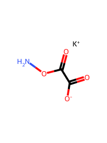 NOC(=O)C(=O)[O-].[K+]